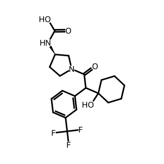 O=C(O)N[C@@H]1CCN(C(=O)C(c2cccc(C(F)(F)F)c2)C2(O)CCCCC2)C1